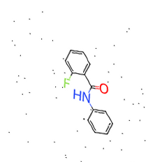 O=C(Nc1[c]cccc1)c1ccccc1F